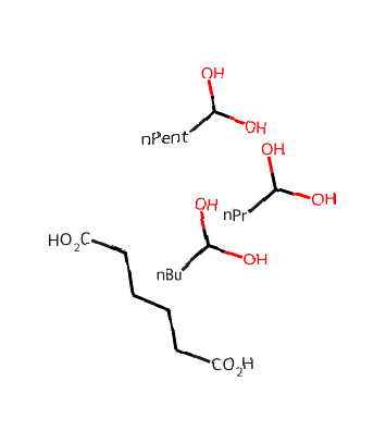 CCCC(O)O.CCCCC(O)O.CCCCCC(O)O.O=C(O)CCCCC(=O)O